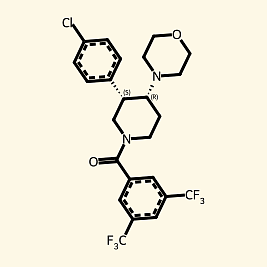 O=C(c1cc(C(F)(F)F)cc(C(F)(F)F)c1)N1CC[C@@H](N2CCOCC2)[C@@H](c2ccc(Cl)cc2)C1